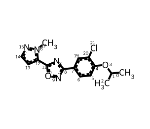 CC(C)Oc1ccc(-c2noc(-c3ccnn3C)n2)cc1Cl